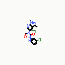 Cc1nn(C)c2ncc(N(C=O)C(=O)Nc3cccc(Cl)c3)c(Cl)c12